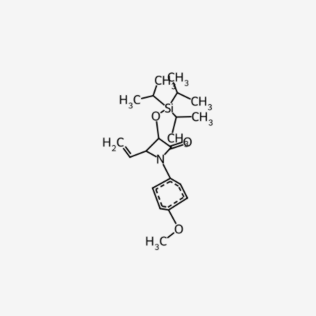 C=CC1C(O[Si](C(C)C)(C(C)C)C(C)C)C(=O)N1c1ccc(OC)cc1